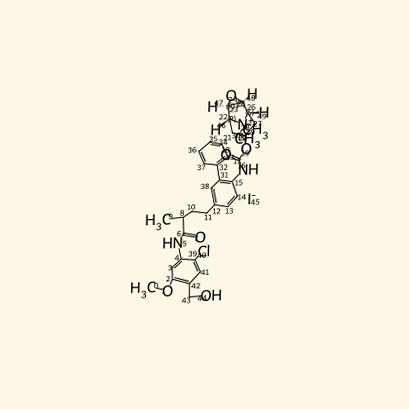 COc1cc(NC(=O)C(C)CCc2ccc(NC(=O)O[C@@H]3C[C@@H]4[C@H]5O[C@H]5[C@H](C3)[N+]4(C)C)c(-c3ccccc3)c2)c(Cl)cc1CO.[I-]